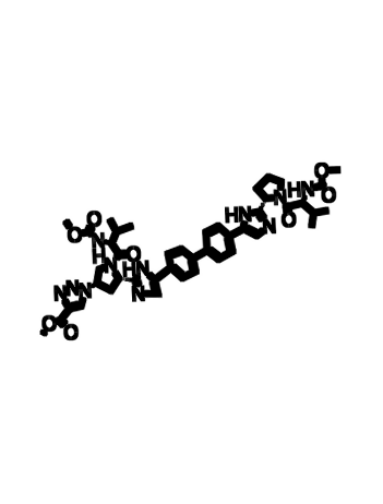 COC(=O)N[C@H](C(=O)N1CCC[C@H]1c1ncc(-c2ccc(-c3ccc(-c4cnc([C@@H]5C[C@H](n6cc(C(=O)OC)nn6)CN5C(=O)[C@@H](NC(=O)OC)C(C)C)[nH]4)cc3)cc2)[nH]1)C(C)C